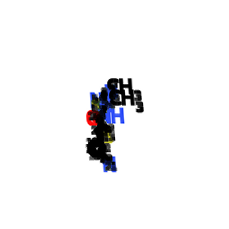 CN(C)Cc1nsc(NC(=O)c2csc(-c3cccc(C#N)c3)c2)n1